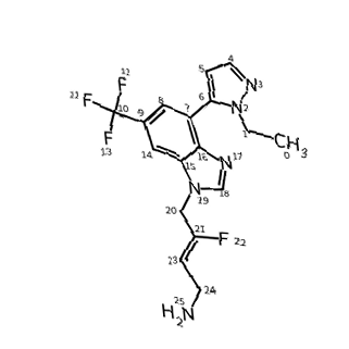 CCn1nccc1-c1cc(C(F)(F)F)cc2c1ncn2C/C(F)=C/CN